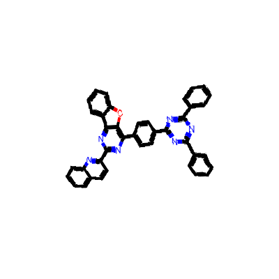 c1ccc(-c2nc(-c3ccccc3)nc(-c3ccc(-c4nc(-c5ccc6ccccc6n5)nc5c4oc4ccccc45)cc3)n2)cc1